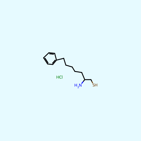 Cl.NC(CS)CCCCCc1ccccc1